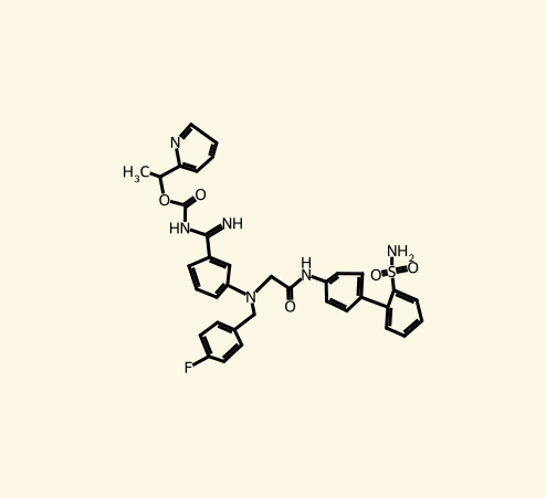 CC(OC(=O)NC(=N)c1cccc(N(CC(=O)Nc2ccc(-c3ccccc3S(N)(=O)=O)cc2)Cc2ccc(F)cc2)c1)c1ccccn1